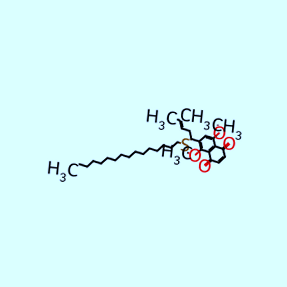 CCCCCCCCCCCCCCCCSC(CC=C(C)C)c1cc(OC)c2c(c1OC)C(=O)C=CC2=O